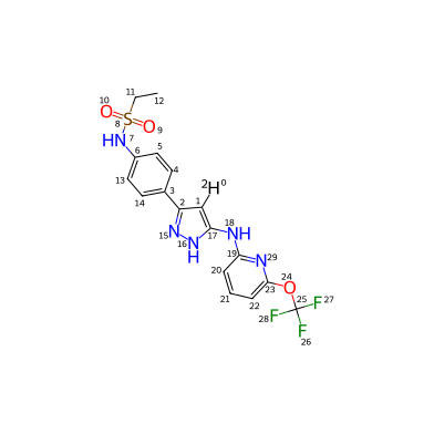 [2H]c1c(-c2ccc(NS(=O)(=O)CC)cc2)n[nH]c1Nc1cccc(OC(F)(F)F)n1